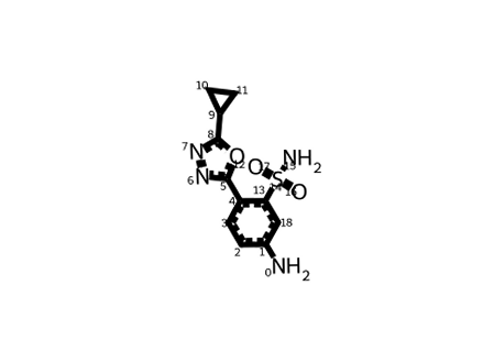 Nc1ccc(-c2nnc(C3CC3)o2)c(S(N)(=O)=O)c1